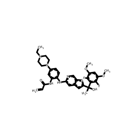 C=CC(=O)Nc1cc(N2CCN(CC)CC2)ccc1Nc1cc2cc(C(C)(O)c3c(F)c(OC)cc(OC)c3F)sc2cn1